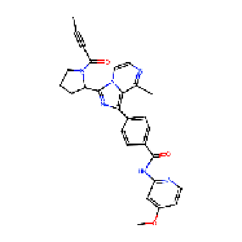 CC#CC(=O)N1CCCC1c1nc(-c2ccc(C(=O)Nc3cc(OC)ccn3)cc2)c2c(C)nccn12